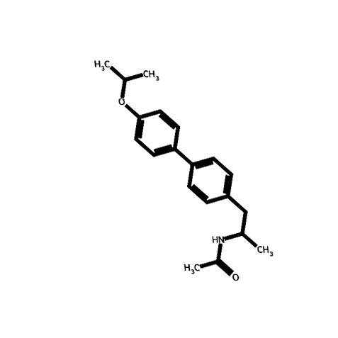 CC(=O)NC(C)Cc1ccc(-c2ccc(OC(C)C)cc2)cc1